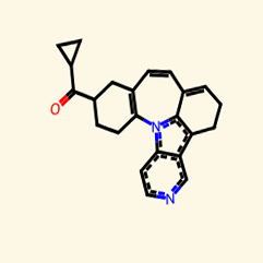 O=C(C1CC1)C1CCC2=C(C=CC3=CCCc4c3n2c2ccncc42)C1